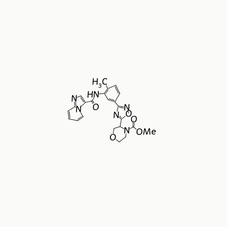 COC(=O)N1CCOCC1c1nc(-c2ccc(C)c(NC(=O)c3cnc4ccccn34)c2)no1